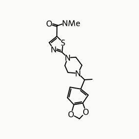 CNC(=O)c1cnc(N2CCN(C(C)c3ccc4c(c3)OCO4)CC2)s1